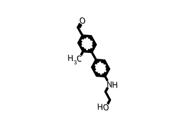 Cc1cc(C=O)ccc1-c1ccc(NCCO)cc1